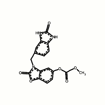 COC(=O)Oc1ccc2oc(=O)n(Cc3ccc4[nH]c(=O)[nH]c4c3)c2c1